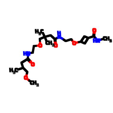 CNC(=O)C1CC(OCCNC(=O)CC(C)(C)COCCNC(=O)CC(C)COC)C1